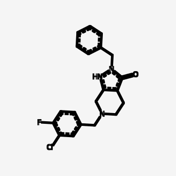 O=c1c2c([nH]n1Cc1ccccc1)CN(Cc1ccc(F)c(Cl)c1)CC2